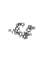 Cl.Nc1cc(OC(F)(F)F)ccc1C(=O)N1CCC(c2ccnc3[nH]c(C4CCC(O)(C(F)(F)F)CC4)nc23)CC1